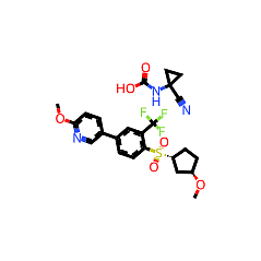 COc1ccc(-c2ccc(S(=O)(=O)[C@@H]3CC[C@@H](OC)C3)c(C(F)(F)F)c2)cn1.N#CC1(NC(=O)O)CC1